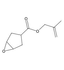 C=C(C)COC(=O)C1CC2OC2C1